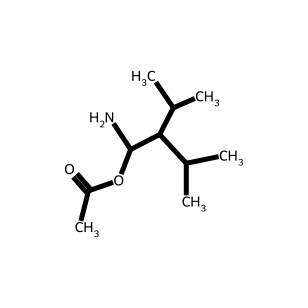 CC(=O)OC(N)C(C(C)C)C(C)C